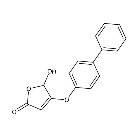 O=C1C=C(Oc2ccc(-c3ccccc3)cc2)C(O)O1